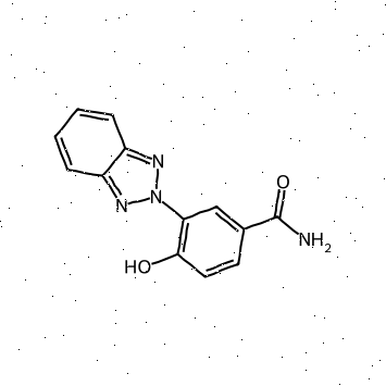 NC(=O)c1ccc(O)c(-n2nc3ccccc3n2)c1